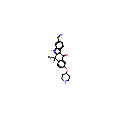 CC1(C)c2ccc(OC3CCNCC3)cc2C(=O)c2c1[nH]c1cc(C=N)ccc21